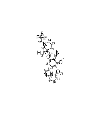 COc1cc(-c2cnc3cccc(OC)n23)cc(OC[C@]2(N)CCCN(CC(F)(F)F)C2)c1C#N